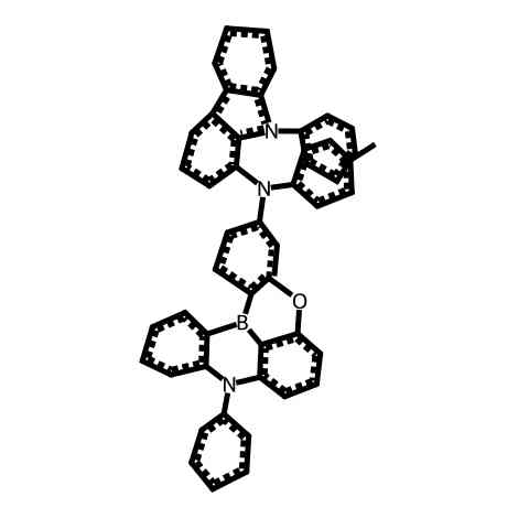 Cc1ccc(N(c2ccc3c(c2)Oc2cccc4c2B3c2ccccc2N4c2ccccc2)c2cccc3c4ccccc4n(-c4ccccc4)c23)cc1